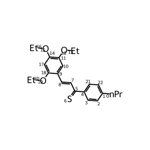 CCCc1ccc(C(=S)C=Cc2cc(OCC)c(OCC)cc2OCC)cc1